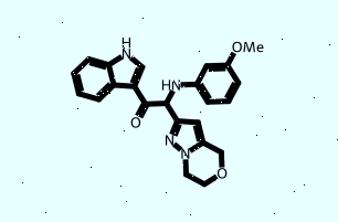 COc1cccc(NC(C(=O)c2c[nH]c3ccccc23)c2cc3n(n2)CCOC3)c1